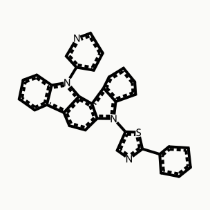 c1ccc(-c2ncc(-n3c4ccccc4c4c3ccc3c5ccccc5n(-c5cccnc5)c34)s2)cc1